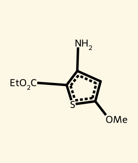 CCOC(=O)c1sc(OC)cc1N